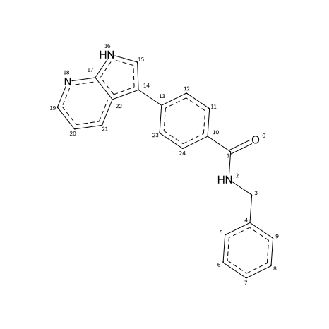 O=C(NCc1ccccc1)c1ccc(-c2c[nH]c3ncccc23)cc1